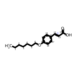 CCCCCCCOc1ccc(/C=C/C(=O)O)cc1